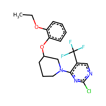 CCOc1ccccc1OC1CCCN(c2nc(Cl)ncc2C(F)(F)F)C1